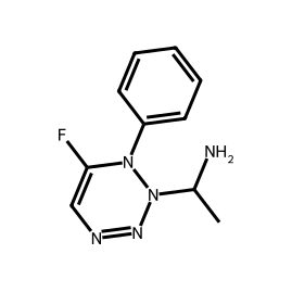 CC(N)N1N=NC=C(F)N1c1ccccc1